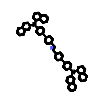 C(=C\c1ccc(-c2ccc(N(c3ccc4ccccc4c3)c3cccc4ccccc34)cc2)cc1)/c1ccc(-c2ccc(N(c3ccc4ccccc4c3)c3cccc4ccccc34)cc2)cc1